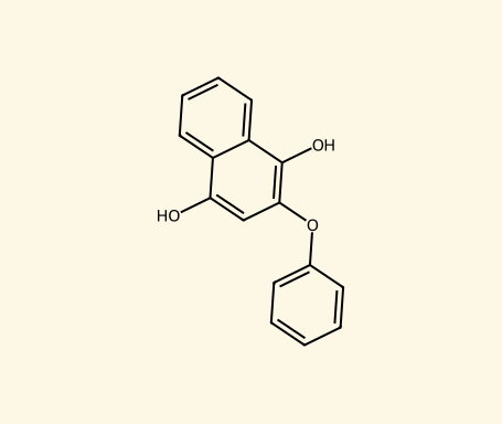 Oc1cc(Oc2ccccc2)c(O)c2ccccc12